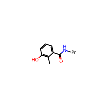 Cc1c(O)cccc1C(=O)NC(C)C